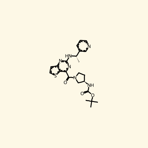 C[C@H](Nc1nc(C(=O)N2CC[C@@H](NC(=O)OC(C)(C)C)C2)c2sccc2n1)c1cccnc1